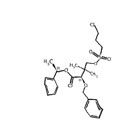 C[C@@H](OC(=O)[C@H](OCc1ccccc1)C(C)(C)COS(=O)(=O)CCCCl)c1ccccc1